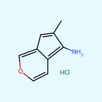 Cc1cc2coccc-2c1N.Cl